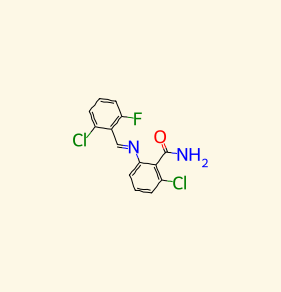 NC(=O)c1c(Cl)cccc1N=Cc1c(F)cccc1Cl